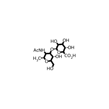 CC(=O)NC1C(O[C@@H]2OC(C(=O)O)[C@@H](O)C(O)C2O)[C@H](O)C(CO)O[C@H]1C